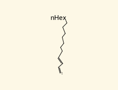 [C]=CC=CCCCCCCCCCCCCC